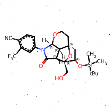 CC(C)(C)[Si](C)(C)O[C@@H]1C[C@@]23CCO[C@H]4[C@@H]2[C@H](C(=O)N4c2ccc(C#N)c(C(F)(F)F)c2)[C@]1(CO)O3